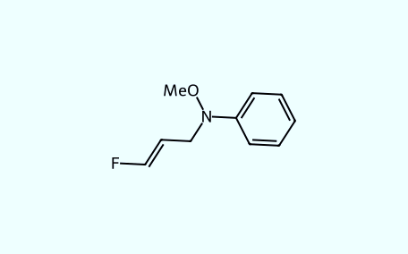 CON(CC=CF)c1ccccc1